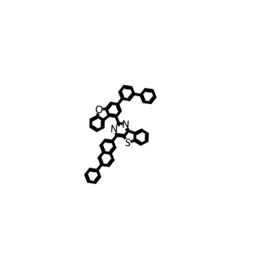 c1ccc(-c2cccc(-c3cc(-c4nc(-c5ccc6cc(-c7ccccc7)ccc6c5)c5sc6ccccc6c5n4)c4c(c3)oc3ccccc34)c2)cc1